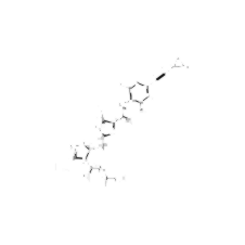 Cc1cc(C#CC2CC2)cc(Cl)c1NC(=O)c1sc(Nc2snc(O)c2C(=N)NC(O)O)nc1C